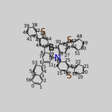 c1ccc2cc(-c3cc4c5c(c3)N(c3ccc6sc7ccccc7c6c3)c3cc6c(cc3B5c3cc5sc7ccccc7c5cc3-4)sc3ccccc36)ccc2c1